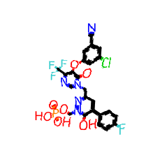 N#Cc1cc(Cl)cc(Oc2c(C(F)(F)F)ncn(CC3=NN(COP(=O)(O)O)C(O)C(c4ccc(F)cc4)=C3)c2=O)c1